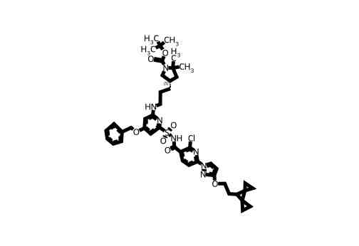 CC(C)(C)OC(=O)N1C[C@@H](CCCNc2cc(OCc3ccccc3)cc(S(=O)(=O)NC(=O)c3ccc(-n4ccc(OCCC5C6(CC6)C56CC6)n4)nc3Cl)n2)CC1(C)C